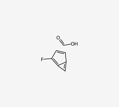 Fc1ccc2cc1-2.O=CO